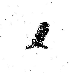 C=CC(=O)Nc1cccc(C)c1Nc1cc2c(=O)oc(-c3c(Cl)c(OC)cc(OC)c3Cl)cc2cn1